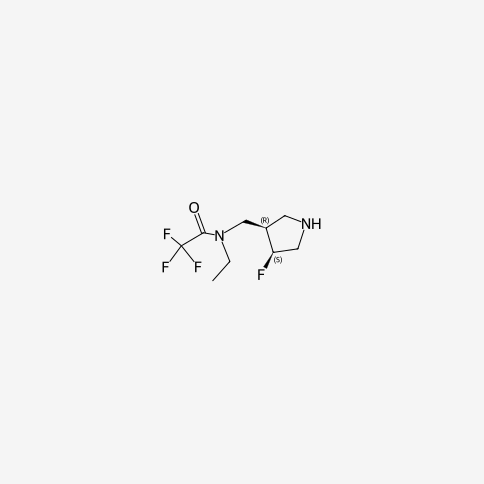 CCN(C[C@H]1CNC[C@H]1F)C(=O)C(F)(F)F